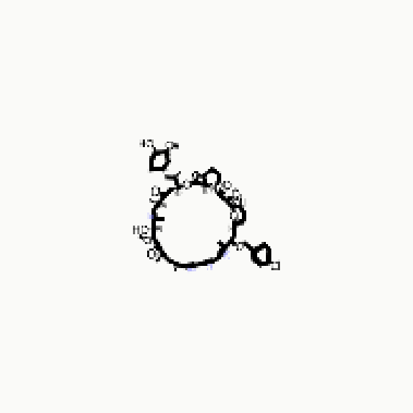 CO[C@@H]1C[C@H](C[C@@H](C)[C@@H]2CC(=O)[C@H](C)/C=C(\C)[C@@H](O)[C@@H](OC)C(=O)[C@H](C)C[C@H](C)/C=C/C=C/C=C(\C)C(OCc3ccc(Cl)cc3)C[C@@H]3CC[C@@H](C)[C@@](O)(O3)C(=O)C(=O)N3CCCC[C@H]3C(=O)O2)CC[C@H]1O